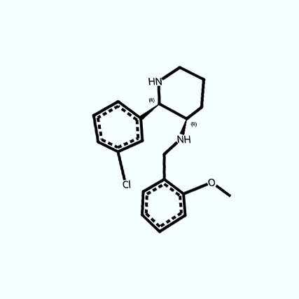 COc1ccccc1CN[C@@H]1CCCN[C@@H]1c1cccc(Cl)c1